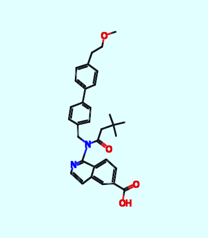 COCCc1ccc(-c2ccc(CN(C(=O)CC(C)(C)C)c3nccc4cc(C(=O)O)ccc34)cc2)cc1